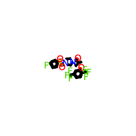 CC(C)(Oc1cc(C(F)(F)F)ccc1C(F)(F)F)C(=O)N1CCN(S(=O)(=O)c2ccc(F)cc2)CC1